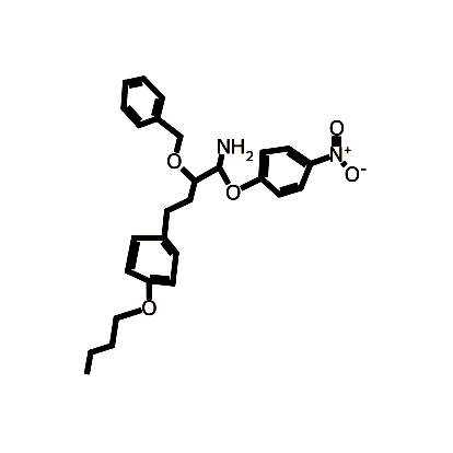 CCCCOc1ccc(CCC(OCc2ccccc2)C(N)Oc2ccc([N+](=O)[O-])cc2)cc1